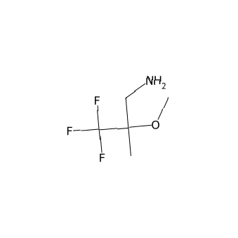 COC(C)(CN)C(F)(F)F